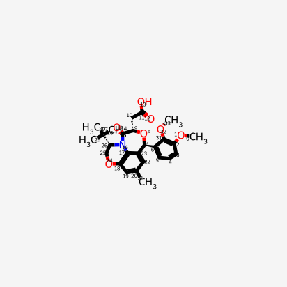 COc1cccc([C@@H]2O[C@@H](CC(=O)O)C(=O)N3c4c(cc(C)cc42)OC[C@@H]3C(C)(C)C)c1OC